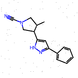 CC1CN(C#N)CC1c1cc(-c2ccccc2)n[nH]1